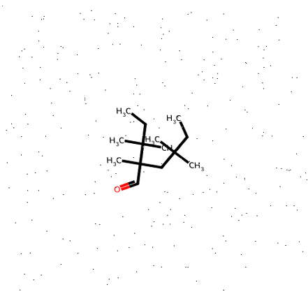 CCC(C)(C)CC(C)(C=O)C(C)(C)CC